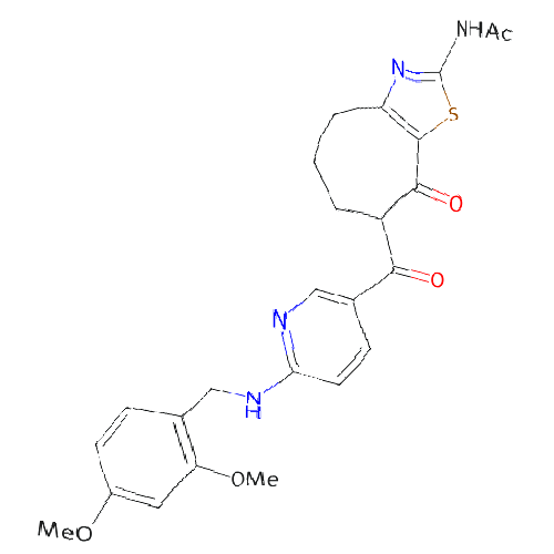 COc1ccc(CNc2ccc(C(=O)C3CCCc4nc(NC(C)=O)sc4C3=O)cn2)c(OC)c1